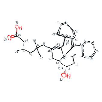 C=C(c1ccccc1)[C@@]12CC[C@H](O)C1CC(CC(C)(C)CC(C)CC(=O)O)=C2c1ccccc1